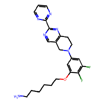 NCCCCCCOc1cc(N2CCc3nc(-c4ncccn4)ncc3C2)cc(F)c1F